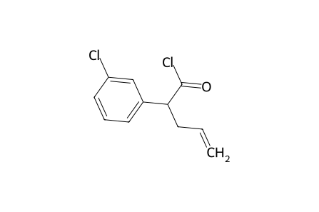 C=CCC(C(=O)Cl)c1cccc(Cl)c1